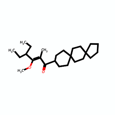 CCC(CC)/C(OC)=C(\C)C(=O)C1CCC2(CC1)CCC1(CCCC1)CC2